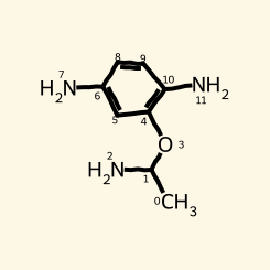 CC(N)Oc1cc(N)ccc1N